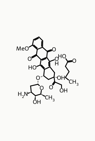 CCCCC(=O)O.COc1cccc2c1C(=O)c1c(O)c3c(c(O)c1C2=O)C[C@@](O)(C(=O)CO)C[C@@H]3O[C@H]1C[C@H](N)[C@H](O)[C@H](C)O1